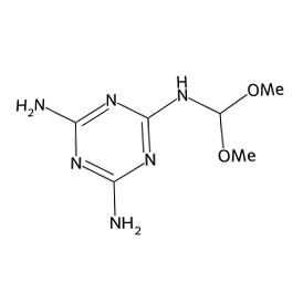 COC(Nc1nc(N)nc(N)n1)OC